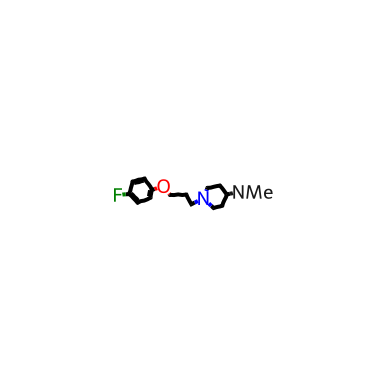 CNC1CCN(CCCOc2ccc(F)cc2)CC1